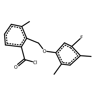 Cc1cc(C)c(OCc2c(C)cccc2C(=O)Cl)cc1F